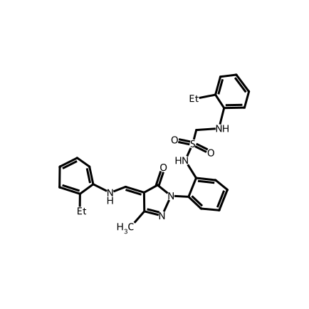 CCc1ccccc1NC=C1C(=O)N(c2ccccc2NS(=O)(=O)CNc2ccccc2CC)N=C1C